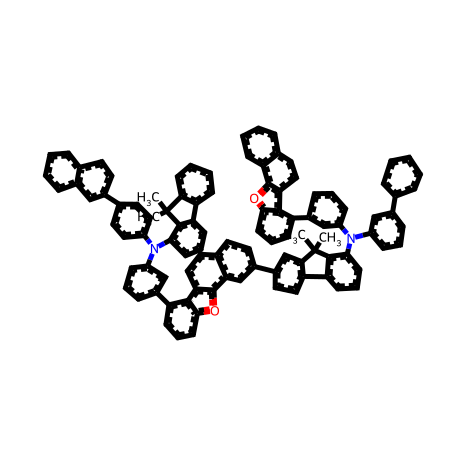 CC1(C)c2ccccc2-c2cccc(N(c3ccc(-c4ccc5ccccc5c4)cc3)c3cccc(-c4cccc5oc6c7cc(-c8ccc9c(c8)C(C)(C)c8c-9cccc8N(c8cccc(-c9ccccc9)c8)c8cccc(-c9cccc%10oc%11c%12ccccc%12ccc%11c9%10)c8)ccc7ccc6c45)c3)c21